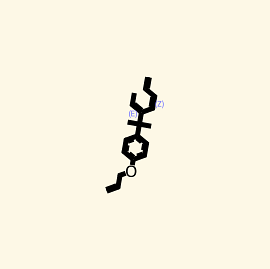 C=C/C=C\C(=C/C)C(C)(C)c1ccc(OCC=C)cc1